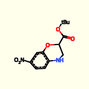 CC(C)(C)OC(=O)C1CNc2ccc([N+](=O)[O-])cc2O1